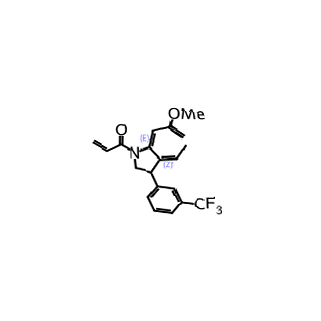 C=CC(=O)N1CC(c2cccc(C(F)(F)F)c2)C(=C/C)/C1=C\C(=C)OC